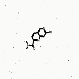 CN(C)C(=O)c1ccc2cnc(Br)cc2n1